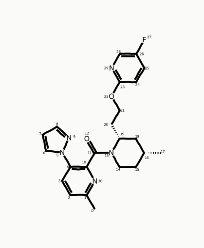 Cc1ccc(-n2cccn2)c(C(=O)N2CC[C@@H](C)C[C@H]2CCOc2ccc(F)cn2)n1